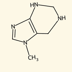 Cn1cnc2c1CNCN2